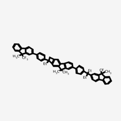 CCC(CC)(c1ccc(-c2ccc3c(c2)C(C)(C)c2cc4c(cc2-3)CC4(CC)c2ccc(-c3ccc4c(c3)C(C)(C(F)(F)F)c3ccccc3-4)cc2)cc1)c1ccc2c(c1)C(C)(C(F)(F)F)c1ccccc1-2